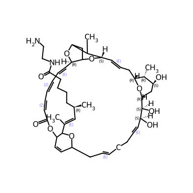 C/C(=C\[C@H](C)CCCCC(=O)NCCN)C1OC2C=CC1OC(=O)\C=C/C=C\C=C\[C@H]1OC3CC1O[C@@H](/C=C/C[C@H]1O[C@H](C[C@H](O)[C@H]1C)[C@@H](O)[C@@H](O)/C=C/CC/C=C/C2)C3C